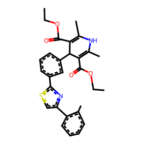 CCOC(=O)C1=C(C)NC(C)=C(C(=O)OCC)C1c1cccc(-c2nc(-c3ccccc3C)cs2)c1